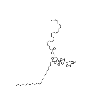 CC/C=C\C/C=C\C/C=C\C/C=C\C/C=C\C/C=C\CCC(=O)OC[C@H](COP(=O)(O)OC[C@@H](O)CO)OC(=O)CCCCCCCCC/C=C\CCCCCCCCCC